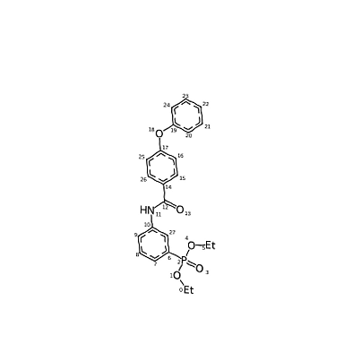 CCOP(=O)(OCC)c1cccc(NC(=O)c2ccc(Oc3ccccc3)cc2)c1